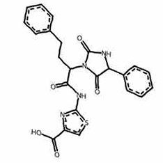 O=C(O)c1csc(NC(=O)C(CCc2ccccc2)N2C(=O)NC(c3ccccc3)C2=O)n1